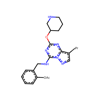 CC(=O)Oc1ccccc1CNc1nc(OC2CCCNC2)nc2c(C(C)C)cnn12